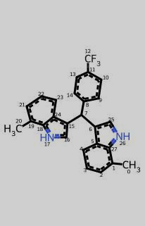 Cc1cccc2c(C(c3ccc(C(F)(F)F)cc3)c3c[nH]c4c(C)cccc34)c[nH]c12